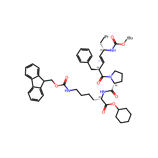 CC(C)C[C@@H](/C=C/[C@H](Cc1ccccc1)C(=O)N1CCC[C@@H]1C(=O)N[C@@H](CCCCNC(=O)OCC1c2ccccc2-c2ccccc21)C(=O)OC1CCCCC1)NC(=O)OC(C)(C)C